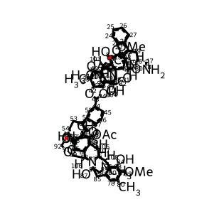 COc1c(C)cc2c(c1O)C1[C@@H]3[C@@H]4SC[C@]5(N[C@@H](CN)Cc6c5oc5ccccc65)C(=O)OC[C@@H](c5c6c(c(C)c(OC(C)=O)c54)OC(c4ccc5oc7c(c5c4)CCN[C@]74CS[C@@H]5c7c(OC(C)=O)c(C)c8c(c7[C@H](COC4=O)N4[C@@H]5[C@@H]5c7c(cc(C)c(OC)c7O)CC4(O)CN5C)OCO8)O6)N3C(O)(C2)CN1C